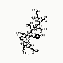 CSCC[C@H](NC(=O)[C@@H]1CCCN1C(=O)[C@H](CCSC)NC(=O)[C@H](Cc1ccc(O)cc1)NC(=O)[C@H](CCC(=O)O)NC(=O)[C@H](CCC(=O)O)NC(=O)[C@H](CCC(=O)O)NC(=O)[C@@H](N)CCC(=O)O)C(=O)N[C@@H](CCC(=O)O)C(=O)O